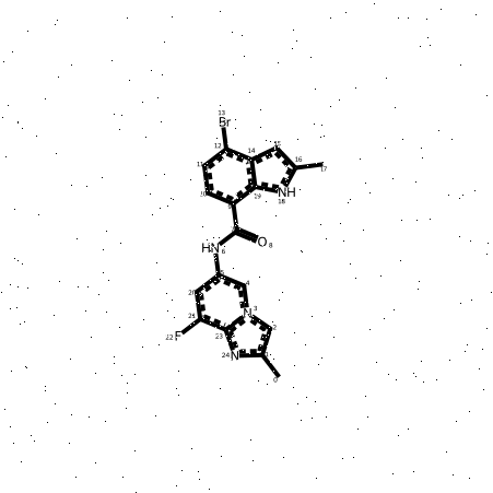 Cc1cn2cc(NC(=O)c3ccc(Br)c4cc(C)[nH]c34)cc(F)c2n1